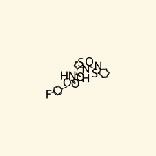 O=C(NC(=O)c1ccsc1NC(=O)c1nc2ccccc2s1)OCc1ccc(F)cc1